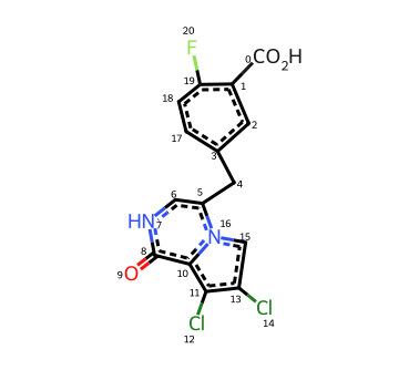 O=C(O)c1cc(Cc2c[nH]c(=O)c3c(Cl)c(Cl)cn23)ccc1F